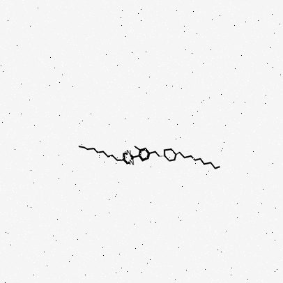 CCCCCCCCCc1cnc(-c2ccc(CC[C@H]3CC[C@H](CCCCCCCCC)CC3)cc2C)nc1